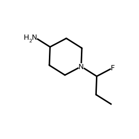 CCC(F)N1CCC(N)CC1